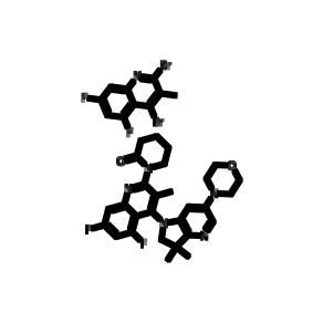 Cc1c(Br)nc2cc(F)cc(F)c2c1Br.Cc1c(N2CCCCC2=O)nc2cc(F)cc(F)c2c1N1CC(C)(C)c2ncc(N3CCOCC3)cc21